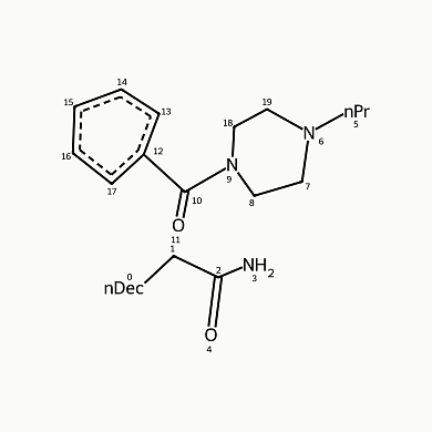 CCCCCCCCCCCC(N)=O.CCCN1CCN(C(=O)c2ccccc2)CC1